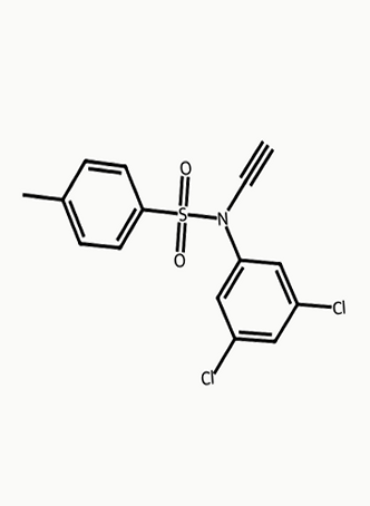 C#CN(c1cc(Cl)cc(Cl)c1)S(=O)(=O)c1ccc(C)cc1